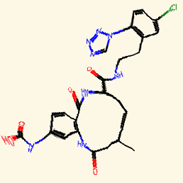 CC1C=CCC(C(=O)NCCc2cc(Cl)ccc2-n2cnnn2)NC(=O)c2ccc(NC(=O)O)cc2NC(=O)C1